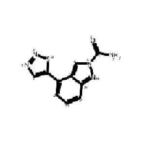 NC(=O)n1cc2c(-c3cnns3)cccc2n1